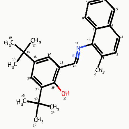 Cc1ccc2ccccc2c1/N=C/c1cc(C(C)(C)C)cc(C(C)(C)C)c1O